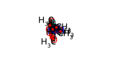 COc1ccc(CS(=O)(=O)c2nc3c(c(S(=O)(=O)Cc4ccc(OC)cc4)n2)C2=CC(F)=CC(N(C)C(=O)OC(C)(C)C)C2N3)cc1